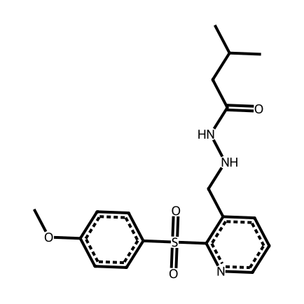 COc1ccc(S(=O)(=O)c2ncccc2CNNC(=O)CC(C)C)cc1